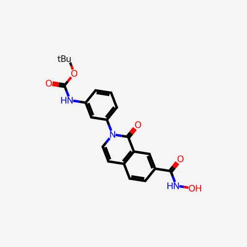 CC(C)(C)OC(=O)Nc1cccc(-n2ccc3ccc(C(=O)NO)cc3c2=O)c1